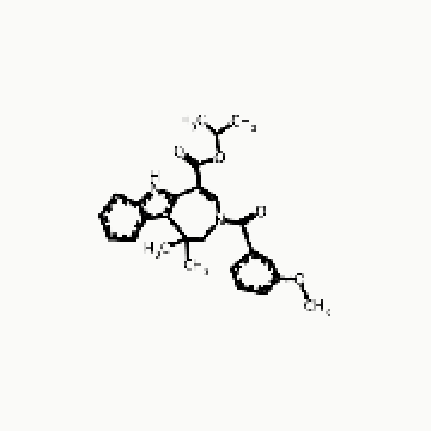 COc1cccc(C(=O)N2C=C(C(=O)OC(C)C)c3[nH]c4ccccc4c3C(C)(C)C2)c1